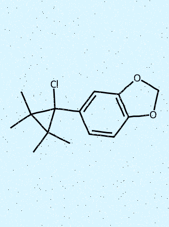 CC1(C)C(C)(C)C1(Cl)c1ccc2c(c1)OCO2